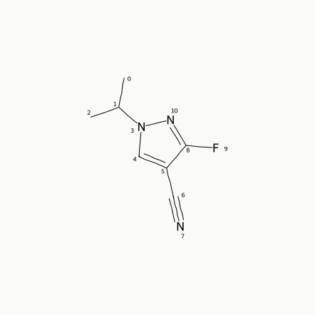 CC(C)n1cc(C#N)c(F)n1